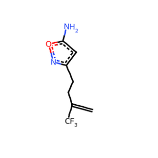 C=C(CCc1cc(N)on1)C(F)(F)F